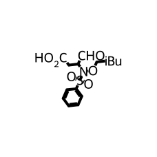 CCC(C)CON(C(C=O)CC(=O)O)S(=O)(=O)c1ccccc1